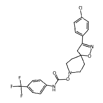 O=C(Nc1ccc(C(F)(F)F)cc1)ON1CCC2(CC1)CC(c1ccc(Cl)cc1)=NO2